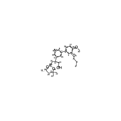 CCCOc1cc(-c2cncc([C@@H](CO)CB3O[C@@H](C)CC(C)(C)O3)c2)ccc1OC